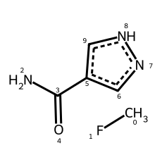 CF.NC(=O)c1cn[nH]c1